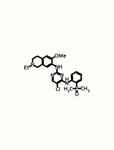 CCN1CCc2cc(OC)c(Nc3ncc(Cl)c(Nc4cc[c]cc4P(C)(C)=O)n3)cc2C1